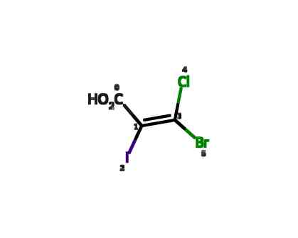 O=C(O)/C(I)=C(\Cl)Br